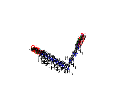 CCC[n+]1ccccc1.CCC[n+]1ccccc1.CCC[n+]1ccccc1.CCC[n+]1ccccc1.CCC[n+]1ccccc1.CCC[n+]1ccccc1.CCC[n+]1ccccc1.CCC[n+]1ccccc1.CCC[n+]1ccccc1.CCC[n+]1ccccc1.CCC[n+]1ccccc1.CCC[n+]1ccccc1.O=P([O-])([O-])F.O=P([O-])([O-])F.O=P([O-])([O-])F.O=P([O-])([O-])F.O=P([O-])([O-])F.O=P([O-])([O-])F